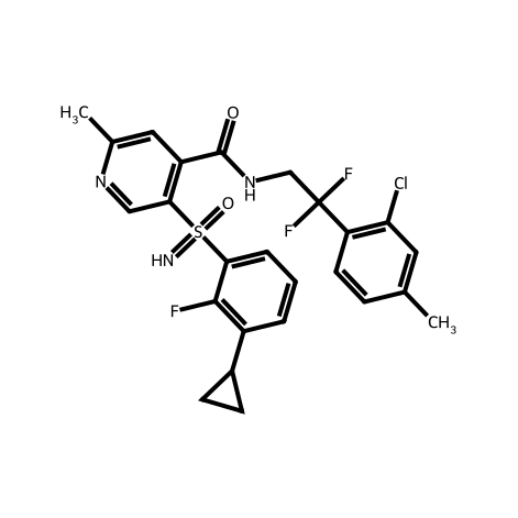 Cc1ccc(C(F)(F)CNC(=O)c2cc(C)ncc2S(=N)(=O)c2cccc(C3CC3)c2F)c(Cl)c1